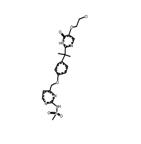 CC(C)(c1ccc(OCc2ccnc(NS(C)(=O)=O)n2)cc1)c1ncc(OCCCl)c(=O)[nH]1